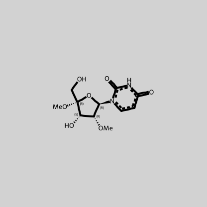 CO[C@H]1[C@H](n2ccc(=O)[nH]c2=O)O[C@@](CO)(OC)[C@H]1O